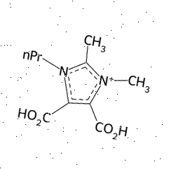 CCCn1c(C(=O)O)c(C(=O)O)[n+](C)c1C